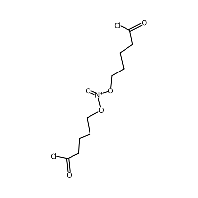 O=C(Cl)CCCCO[N+](=O)OCCCCC(=O)Cl